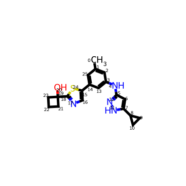 Cc1cc(Nc2cc(C3CC3)[nH]n2)cc(-c2cnc(C3(O)CCC3)s2)c1